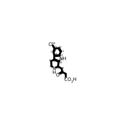 O=C(O)CC(=O)CC1NCCc2c1[nH]c1ccc(Cl)cc21